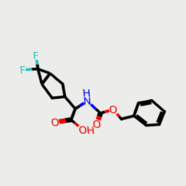 O=C(NC(C(=O)O)C1CC2C(C1)C2(F)F)OCc1ccccc1